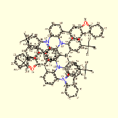 CC(C)(C)c1cc(-c2cc3c4c(c2)N(c2c(-c5cccc6c5oc5ccccc56)cccc2-n2c5ccccc5c5ccccc52)c2ccc(C(C)(C)C)cc2B4c2cc(C(C)(C)C)ccc2N3c2c(-c3ccc4c(c3)oc3ccccc34)cccc2-n2c3ccccc3c3ccccc32)cc(C(C)(C)C)c1